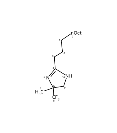 CCCCCCCCCCCC1=NC(C)(C(F)(F)F)CN1